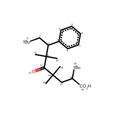 CC(C)(C)CC(c1ccccc1)C(C)(C)C(=O)C(C)(C)CC(C(=O)O)C(C)(C)C